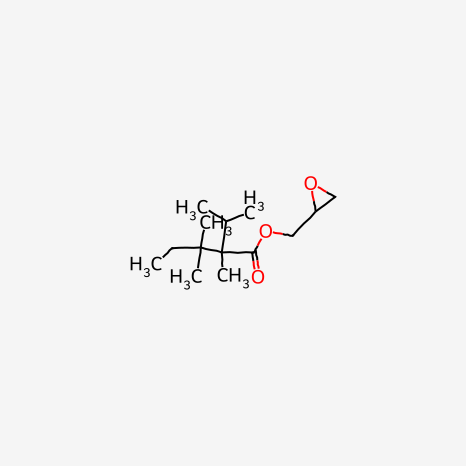 CCC(C)(C)C(C)(C(=O)OCC1CO1)C(C)C